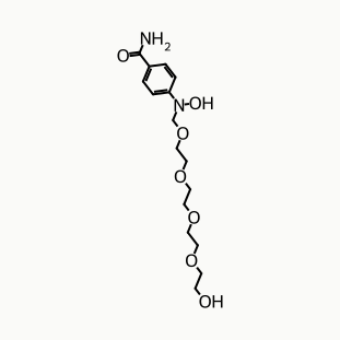 NC(=O)c1ccc(N(O)COCCOCCOCCOCCO)cc1